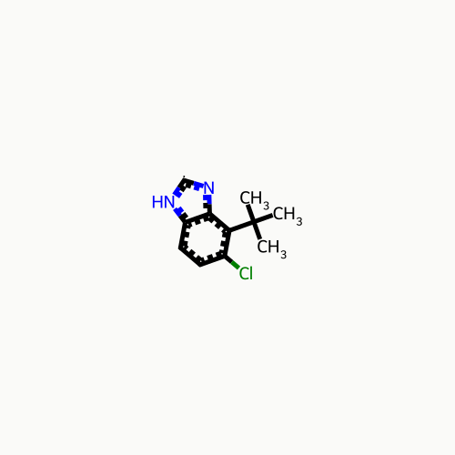 CC(C)(C)c1c(Cl)ccc2[nH][c]nc12